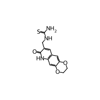 NC(=S)NCc1cc2cc3c(cc2[nH]c1=O)OCCO3